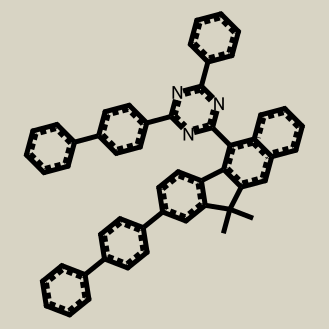 CC1(C)c2cc(-c3ccc(-c4ccccc4)cc3)ccc2-c2c1cc1ccccc1c2-c1nc(-c2ccccc2)nc(-c2ccc(-c3ccccc3)cc2)n1